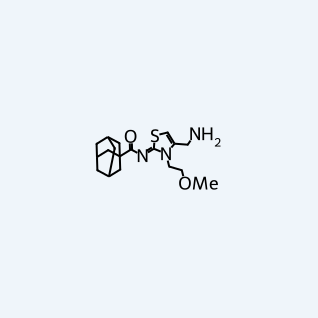 COCCn1c(CN)csc1=NC(=O)C12CC3CC(CC(C3)C1)C2